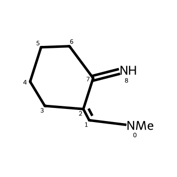 CN/C=C1/CCCCC1=N